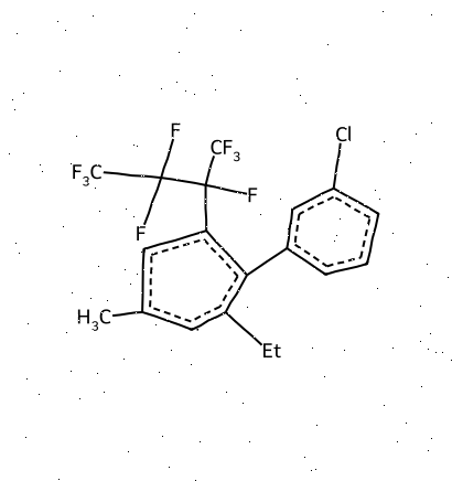 CCc1[c]c(C)cc(C(F)(C(F)(F)F)C(F)(F)C(F)(F)F)c1-c1cccc(Cl)c1